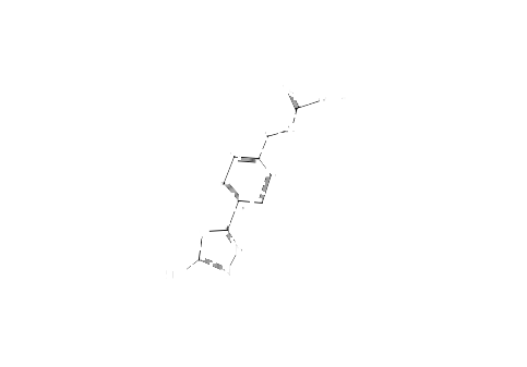 CCCCCC(=O)NCc1ccc(-c2nnc(O)o2)cc1